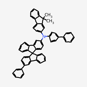 CC1(C)c2ccccc2-c2ccc(N(c3ccc(-c4ccccc4)cc3)c3ccc4c(c3)-c3ccccc3C43c4ccccc4-c4cc(-c5ccccc5)ccc43)cc21